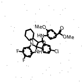 COC(=O)c1ccc(NC(=O)C(C2CCCCC2)C2(c3ccc(Cl)cc3)Nc3cc(F)c(F)cc3N2)c(OC)c1